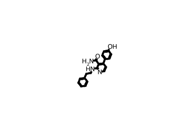 NC(=O)c1c(-c2ccc(O)cc2)ccnc1NCCc1ccccc1